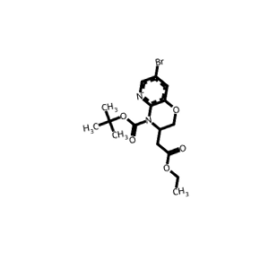 CCOC(=O)CC1COc2cc(Br)cnc2N1C(=O)OC(C)(C)C